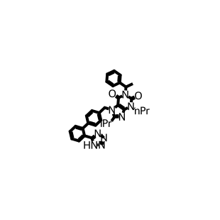 CCCn1c(=O)n(C(C)c2ccccc2)c(=O)c2c1nc(C(C)C)n2Cc1ccc(-c2ccccc2-c2nnn[nH]2)cc1